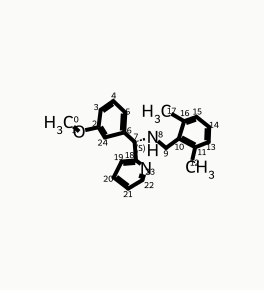 COc1cccc([C@H](NCc2c(C)cccc2C)c2ccccn2)c1